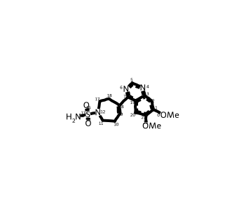 COc1cc2ncnc(C3=CCCN(S(N)(=O)=O)CC3)c2cc1OC